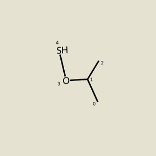 CC(C)OS